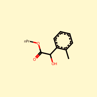 CCCOC(=O)C(O)c1ccccc1C